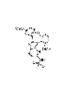 COc1cccc(-c2nc3ncc(NS(C)(=O)=O)nc3n2-c2c(OC)cccc2OC)n1